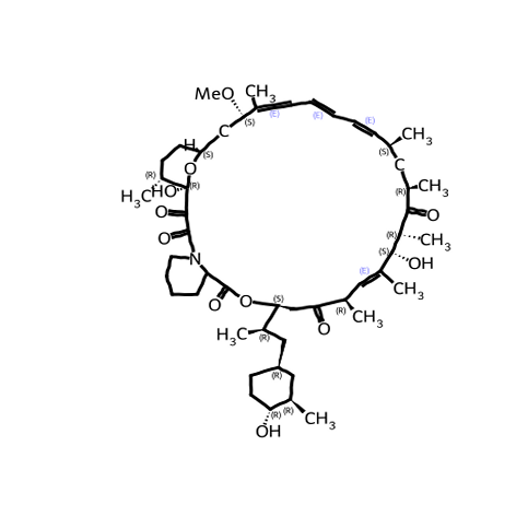 CO[C@H]1C[C@@H]2CC[C@@H](C)[C@@](O)(O2)C(=O)C(=O)N2CCCCC2C(=O)O[C@H]([C@H](C)C[C@@H]2CC[C@@H](O)[C@H](C)C2)CC(=O)[C@H](C)/C=C(\C)[C@@H](O)[C@@H](C)C(=O)[C@H](C)C[C@H](C)/C=C/C=C/C=C/1C